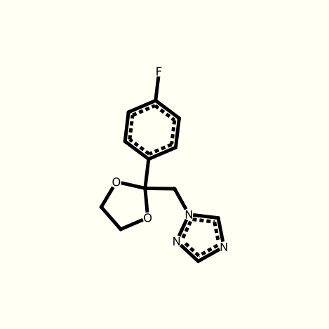 Fc1ccc(C2(Cn3cncn3)OCCO2)cc1